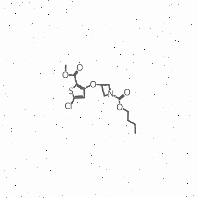 CCCCOC(=O)N1CC(Oc2cc(Cl)sc2C(=O)OC)C1